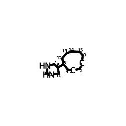 C1CCCCC(C2CNCNC2)CCCC1